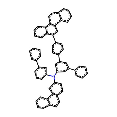 c1ccc(-c2cccc(N(c3cc(-c4ccccc4)cc(-c4ccc(-c5cc6c7ccccc7ccc6c6ccccc56)cc4)c3)c3ccc4ccc5ccccc5c4c3)c2)cc1